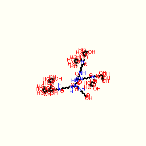 O=C(O)CCCCCNC(=O)CN(CC(=O)NCCCCCC(=O)NCCO[C@H]1O[C@H](CO[C@H]2O[C@H](CO)[C@@H](O)[C@H](O)[C@@H]2O)[C@@H](O)[C@H](O[C@H]2O[C@H](CO)[C@@H](O)[C@H](O)[C@@H]2O)[C@@H]1O)CC(=O)N[C@H](CCC(=O)NCCCCCC(=O)N(CCO[C@H]1O[C@H](CO)[C@@H](O)[C@H](O)[C@@H]1O)CCO[C@H]1O[C@H](CO)[C@@H](O)[C@H](O)[C@@H]1O)C(=O)NCCCCCC(=O)N(CCO[C@H]1O[C@H](CO)[C@@H](O)[C@H](O)[C@@H]1O)CCO[C@H]1O[C@H](CO)[C@@H](O)[C@H](O)[C@@H]1O